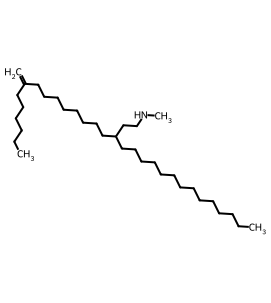 C=C(CCCCCC)CCCCCCCCC(CCCCCCCCCCCCCC)CCNC